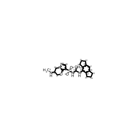 CNC1COc2c(S(=O)(=O)NC(O)Nc3c4c(cc5c3CCC5)CCC4)cnn2C1